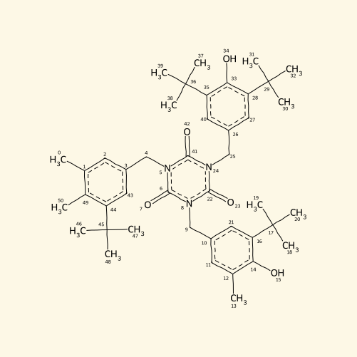 Cc1cc(Cn2c(=O)n(Cc3cc(C)c(O)c(C(C)(C)C)c3)c(=O)n(Cc3cc(C(C)(C)C)c(O)c(C(C)(C)C)c3)c2=O)cc(C(C)(C)C)c1C